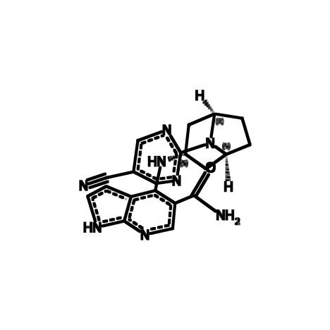 N#Cc1cnc(N2[C@@H]3CC[C@H]2C[C@H](Nc2c(C(N)=O)cnc4[nH]ccc24)C3)nc1